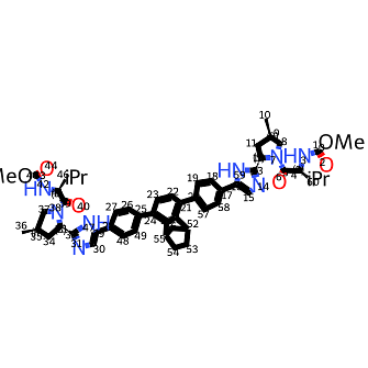 COC(=O)N[C@H](C(=O)N1C[C@H](C)C[C@H]1c1ncc(-c2ccc(-c3ccc(-c4ccc(-c5cnc([C@@H]6C[C@@H](C)CN6C(=O)[C@@H](NC(=O)OC)C(C)C)[nH]5)cc4)c4c3C3CCC4C3)cc2)[nH]1)C(C)C